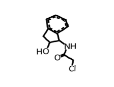 O=C(CCl)NC1c2ccccc2CC1O